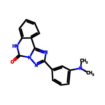 CN(C)c1cccc(-c2nc3c4ccccc4[nH]c(=O)n3n2)c1